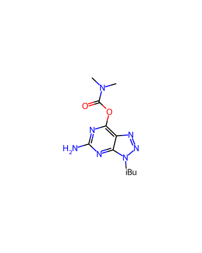 CCC(C)n1nnc2c(OC(=O)N(C)C)nc(N)nc21